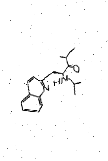 CC(C)N[C@@H](Cc1ccc2ccccc2n1)C(=O)C(C)C